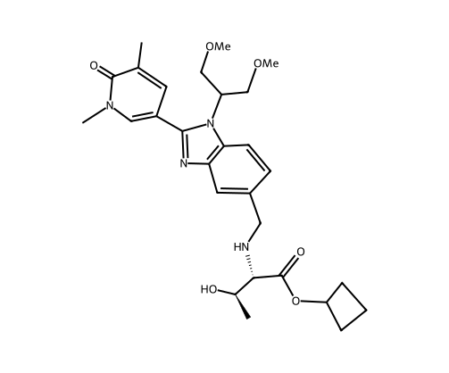 COCC(COC)n1c(-c2cc(C)c(=O)n(C)c2)nc2cc(CN[C@H](C(=O)OC3CCC3)[C@@H](C)O)ccc21